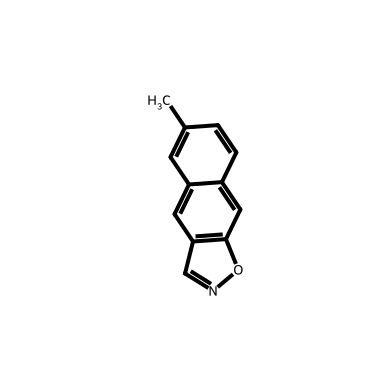 Cc1ccc2cc3oncc3cc2c1